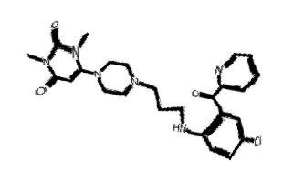 Cn1c(N2CCN(CCCNc3ccc(Cl)cc3C(=O)c3ccccn3)CC2)cc(=O)n(C)c1=O